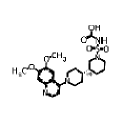 COc1cc2nccc(N3CCC([C@H]4CCCN(S(=O)(=O)NC(=O)O)C4)CC3)c2cc1OC